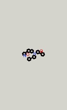 c1ccc(-c2cccc(N(c3ccc4oc5ccccc5c4c3)c3ccc4ccc5c6cccnc6oc5c4c3)c2)cc1